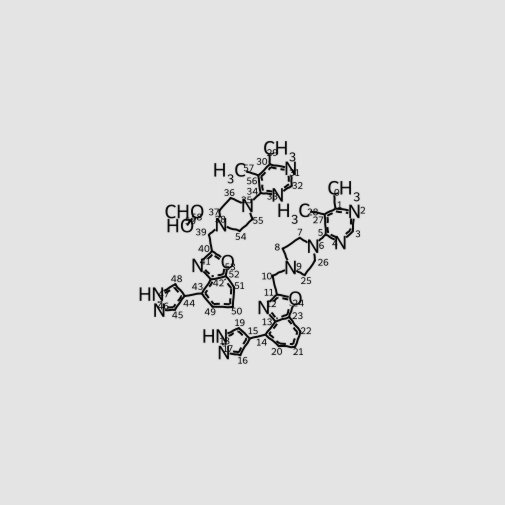 Cc1ncnc(N2CCN(Cc3nc4c(-c5cn[nH]c5)cccc4o3)CC2)c1C.Cc1ncnc(N2CCN(Cc3nc4c(-c5cn[nH]c5)cccc4o3)CC2)c1C.O=CO